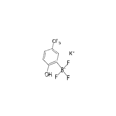 Oc1ccc(C(F)(F)F)cc1[B-](F)(F)F.[K+]